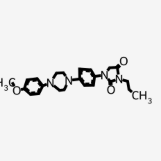 CCCN1C(=O)CN(c2ccc(N3CCN(c4ccc(OC)cc4)CC3)cc2)C1=O